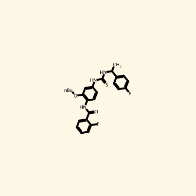 CCCCOc1cc(NC(=S)NC(C)c2ccc(F)cc2)ccc1NC(=O)c1ccccc1F